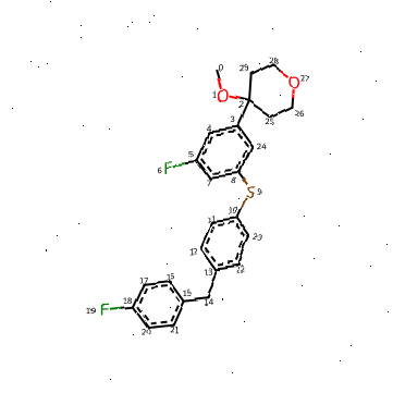 COC1(c2cc(F)cc(Sc3ccc(Cc4ccc(F)cc4)cc3)c2)CCOCC1